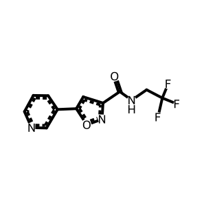 O=C(NCC(F)(F)F)c1cc(-c2cccnc2)on1